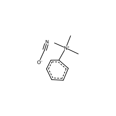 C[N+](C)(C)c1ccccc1.N#C[O-]